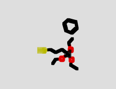 CCO[Si](CCCS)(OCC)OCC.c1ccccc1